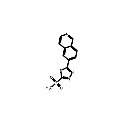 CS(=O)(=O)c1nnc(-c2ccc3cnccc3c2)s1